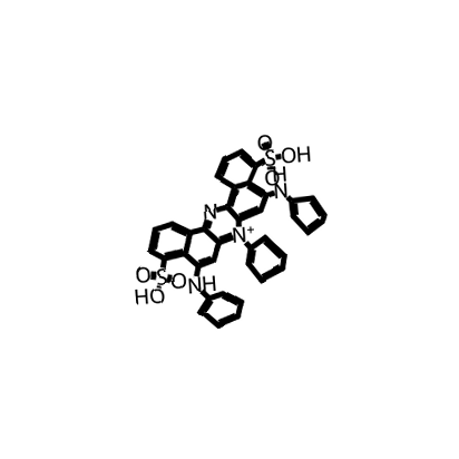 O=S(=O)(O)c1cccc2c1c(Nc1ccccc1)cc1c2nc2c3cccc(S(=O)(=O)O)c3c(Nc3ccccc3)cc2[n+]1-c1ccccc1